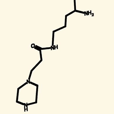 NC(CCCNC(=O)CCN1CCNCC1)C(=O)O